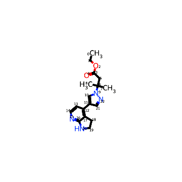 CCOC(=O)CC(C)(C)n1cc(-c2ccnc3c2CCN3)cn1